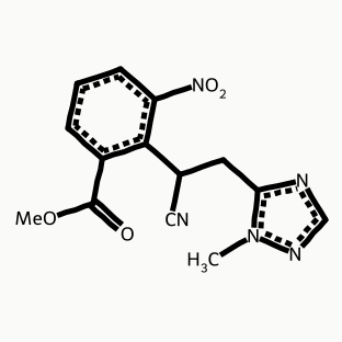 COC(=O)c1cccc([N+](=O)[O-])c1C(C#N)Cc1ncnn1C